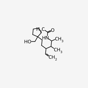 C=CC(CCC1(CO)CCCC1)C(C)C(C)NC(C)=O